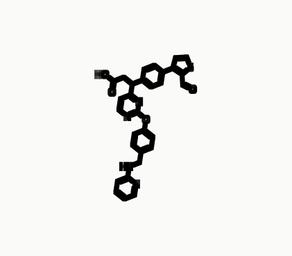 O=Cc1sccc1-c1ccc(C(CC(=O)O)c2ccnc(Oc3ccc(CNc4ccccn4)cc3)n2)cc1